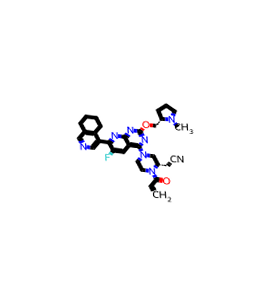 C=CC(=O)N1CCN(c2nc(OC[C@@H]3CCCN3C)nc3nc(-c4cncc5c4CCCC5)c(F)cc23)C[C@@H]1CC#N